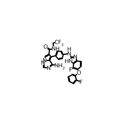 Nc1ncnn2cc(C(=O)NCC(F)(F)F)c(-c3ccc(Nc4nc5ccc(Oc6ccccc6F)c(F)c5[nH]4)cc3)c12